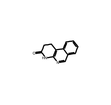 O=C1CCc2c(ncc3ccccc23)N1